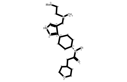 CCN(C(=O)CC1CCOCC1)[C@H]1CC[C@@H](c2n[nH]cc2CN(C)CCNC)CC1